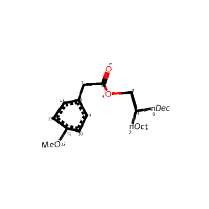 CCCCCCCCCCC(CCCCCCCC)COC(=O)Cc1ccc(OC)cc1